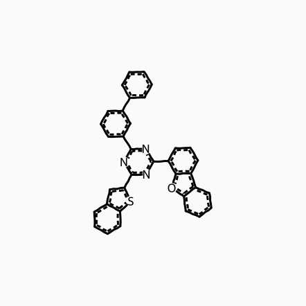 c1ccc(-c2cccc(-c3nc(-c4cc5ccccc5s4)nc(-c4cccc5c4oc4ccccc45)n3)c2)cc1